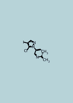 C=C(F)/N=C\C(=C/C)n1ncc(I)c1Cl